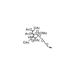 C#CCOCCOCCOC1(C(=O)OC)C[C@H](OC(C)=O)[C@@H](NC(=O)COC(C)=O)[C@H]([C@H](OC(C)=O)[C@@H](COC(C)=O)OC(C)=O)O1